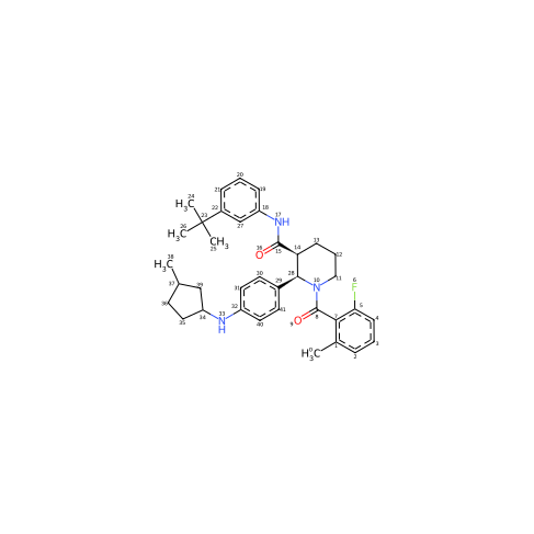 Cc1cccc(F)c1C(=O)N1CCC[C@H](C(=O)Nc2cccc(C(C)(C)C)c2)[C@@H]1c1ccc(NC2CCC(C)C2)cc1